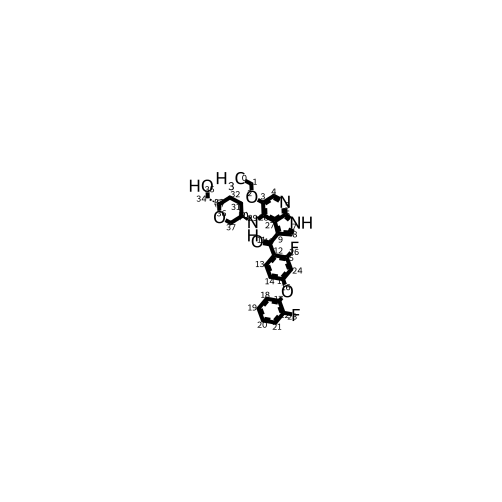 CCOc1cnc2[nH]cc(C(=O)c3ccc(Oc4ccccc4F)cc3F)c2c1N[C@@H]1CC[C@@H](CO)OC1